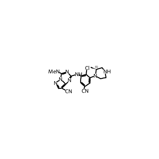 CNc1nc(Nc2cc(C#N)cc(N3CCNC[C@@H]3C)c2Cl)nc2c(C#N)cnn12